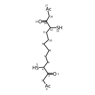 CC(=O)CC(=O)C(S)CCCCCCC(S)C(=O)CC(C)=O